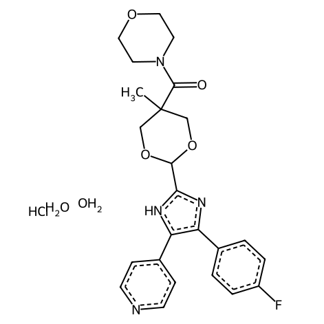 CC1(C(=O)N2CCOCC2)COC(c2nc(-c3ccc(F)cc3)c(-c3ccncc3)[nH]2)OC1.Cl.O.O